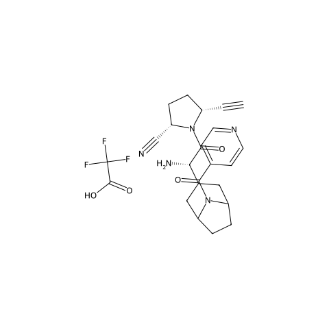 C#C[C@H]1CC[C@@H](C#N)N1C(=O)[C@@H](N)C1CC2CCC(C1)N2C(=O)c1ccncc1.O=C(O)C(F)(F)F